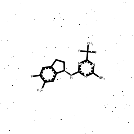 Cc1cc2c(cc1F)CC[C@H]2Nc1nc(N)nc(C(C)(F)F)n1